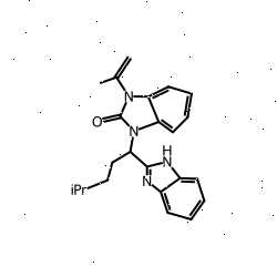 C=C(C)n1c(=O)n(C(CCC(C)C)c2nc3ccccc3[nH]2)c2ccccc21